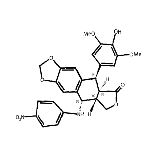 COc1cc([C@@H]2c3cc4c(cc3[C@@H](Nc3ccc([N+](=O)[O-])cc3)[C@H]3COC(=O)[C@H]23)OCO4)cc(OC)c1O